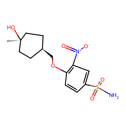 C[C@]1(O)CC[C@@H](COc2ccc(S(N)(=O)=O)cc2[N+](=O)[O-])CC1